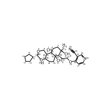 CC1(C)CCC2[C@]3(C)CO[C@@H](C4CCCC4)O[C@@H]3CC[C@@]2(C)[C@@H]1CCOc1ccncc1C#N